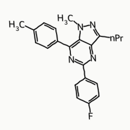 CCCc1nn(C)c2c(-c3ccc(C)cc3)nc(-c3ccc(F)cc3)nc12